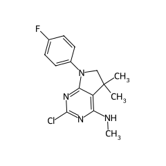 CNc1nc(Cl)nc2c1C(C)(C)CN2c1ccc(F)cc1